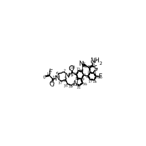 C=C(F)C(=O)N1CCN2C(=O)c3cc(F)c(-c4ccc(F)c5sc(N)c(C#N)c45)c4ccn(c34)CCC2C1